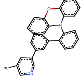 N#Cc1cncc(-c2cccc(-c3ccccc3N3c4ccccc4Oc4ccccc43)c2)c1